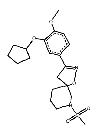 COc1ccc(C2=NOC3(CCCN(S(C)(=O)=O)C3)C2)cc1OC1CCCC1